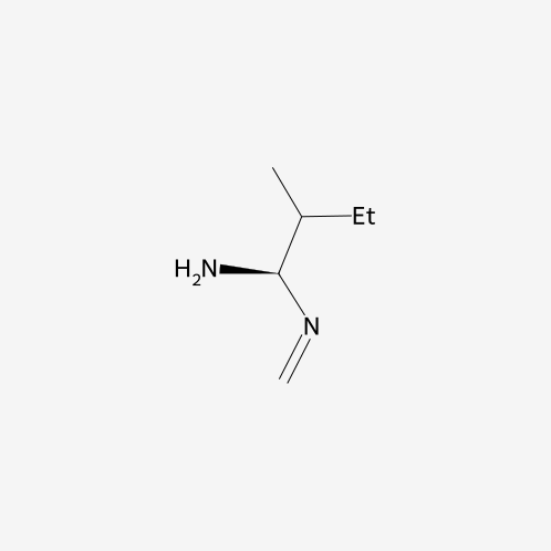 C=N[C@@H](N)C(C)CC